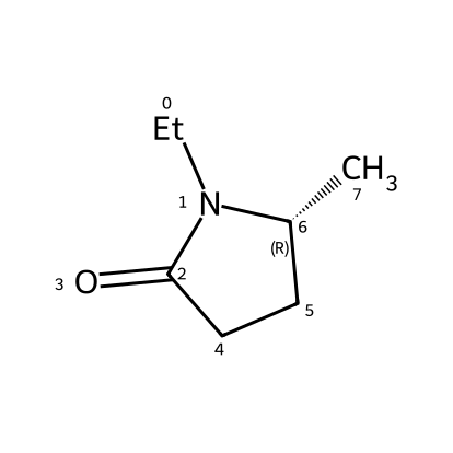 CCN1C(=O)CC[C@H]1C